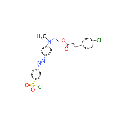 CN(CCOC(=O)C=Cc1ccc(Cl)cc1)c1ccc(N=Nc2ccc(S(=O)(=O)Cl)cc2)cc1